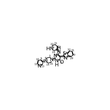 O=c1[nH]c(N2CCN(c3cccnc3)CC2)nc(N[C@@H]2CCCNC2)c1-c1nc2ccccc2s1